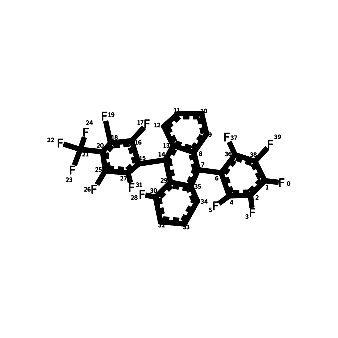 Fc1c(F)c(F)c(-c2c3ccccc3c(-c3c(F)c(F)c(C(F)(F)F)c(F)c3F)c3c(F)cccc23)c(F)c1F